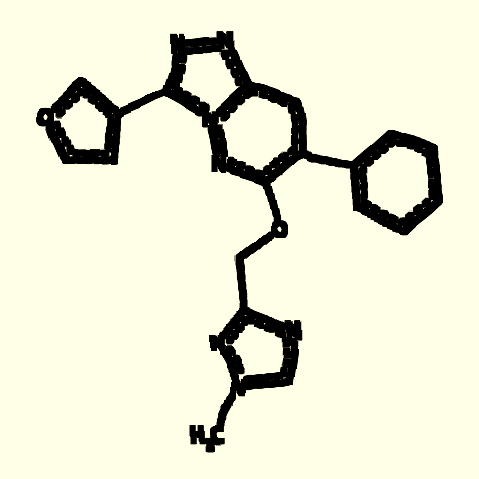 Cn1cnc(COc2nn3c(-c4ccoc4)nnc3cc2-c2ccccc2)n1